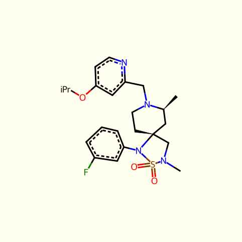 CC(C)Oc1ccnc(CN2CC[C@@]3(C[C@@H]2C)CN(C)S(=O)(=O)N3c2cccc(F)c2)c1